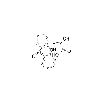 O=C(O)C(=O)O.O=c1c2ccccc2[nH]c2ccccc12